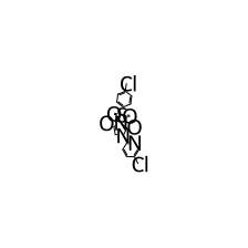 O=C1CN(c2ccc(Cl)cn2)C(=O)N1S(=O)(=O)c1ccc(Cl)cc1